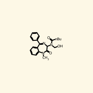 CCCCC(=O)N(CO)C1N=C(c2ccccc2)c2ccccc2N(C)C1=O